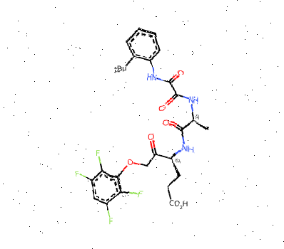 C[C@H](NC(=O)C(=O)Nc1ccccc1C(C)(C)C)C(=O)N[C@@H](CCC(=O)O)C(=O)COc1c(F)c(F)cc(F)c1F